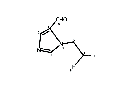 O=Cc1cncn1CC(F)F